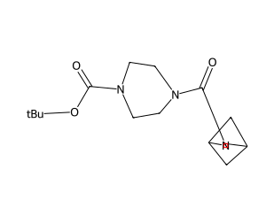 CC(C)(C)OC(=O)N1CCN(C(=O)N2CC3CC2C3)CC1